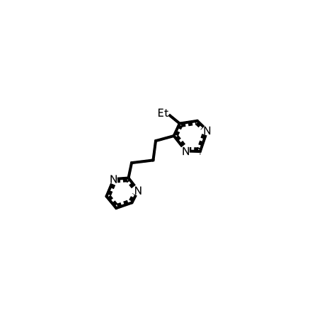 CCc1cn[c]nc1CCCc1ncccn1